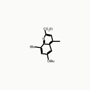 CCOC(=O)c1cc(C)c2cc(OCC(C)C)cc(C(C)(C)C)c2n1